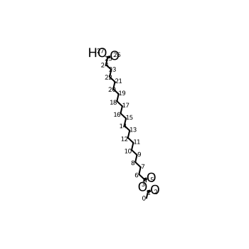 CC(=O)OC(=O)CCCCCCCCCCCCCCCCCCCC(=O)O